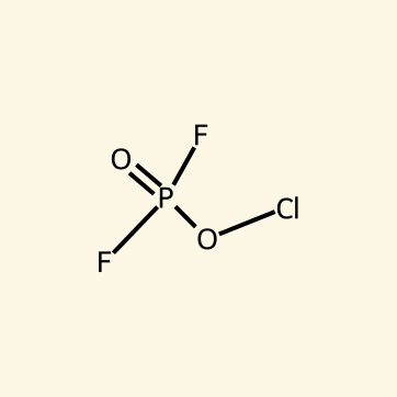 O=P(F)(F)OCl